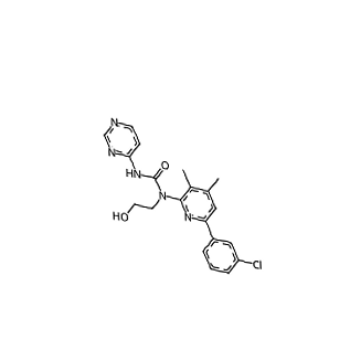 Cc1cc(-c2cccc(Cl)c2)nc(N(CCO)C(=O)Nc2ccncn2)c1C